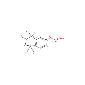 CC1CC(C)(C)c2ccc(OC=O)cc2C1(C)C